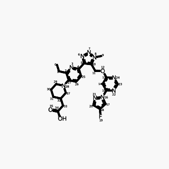 CCc1nc(-c2nnn(C)c2COc2cc(-n3cc(F)cn3)ncn2)ccc1N1CCCC(CC(=O)O)C1